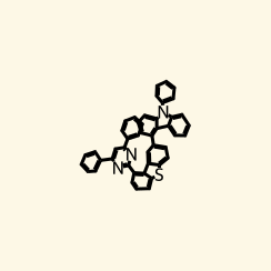 c1ccc(-c2cc(-c3ccccc3)nc(-c3cccc4sc5ccc(-c6cccc7c6c6ccccc6n7-c6ccccc6)cc5c34)n2)cc1